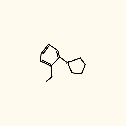 CCc1ccccc1N1CCCC1